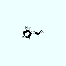 O=C[O-].[Na+].c1ccoc1